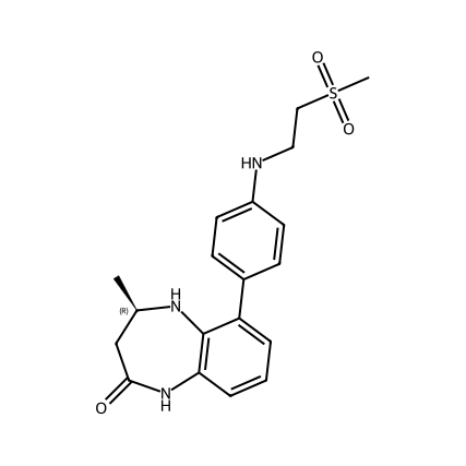 C[C@@H]1CC(=O)Nc2cccc(-c3ccc(NCCS(C)(=O)=O)cc3)c2N1